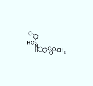 CCOC(=O)Oc1ccc2c(c1)CC(NCC(O)c1cccc(Cl)c1)CC2